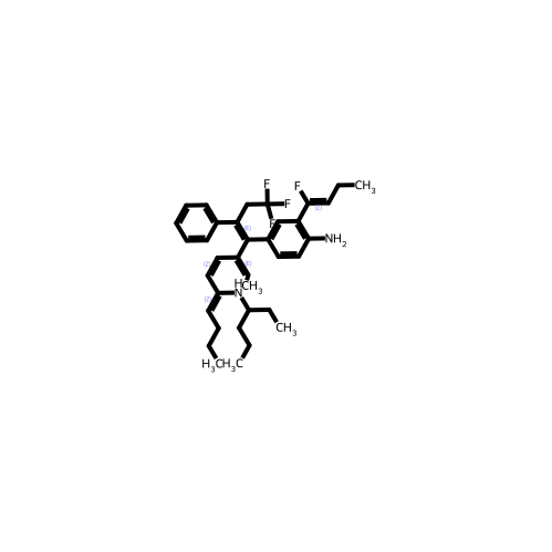 C/C=C(\C=C/C(=C/CCC)NC(CC)CCC)C(=C(/CC(F)(F)F)c1ccccc1)/c1ccc(N)c(/C(F)=C/CC)c1